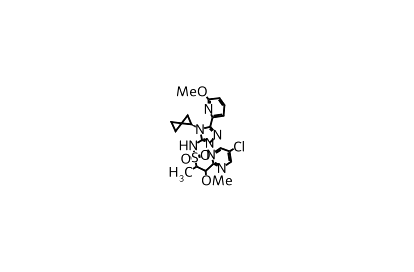 COc1cccc(-c2nnc(NS(=O)(=O)C(C)C(OC)c3ncc(Cl)cn3)n2[C@@H]2CC23CC3)n1